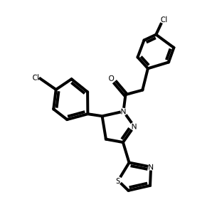 O=C(Cc1ccc(Cl)cc1)N1N=C(c2nccs2)CC1c1ccc(Cl)cc1